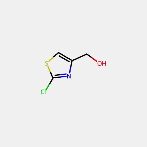 OCc1csc(Cl)n1